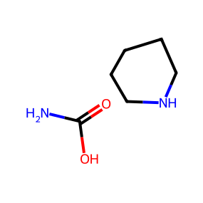 C1CCNCC1.NC(=O)O